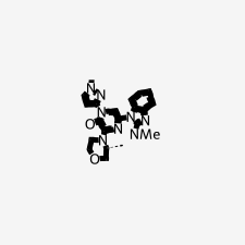 CNc1nc2ccccc2n1-c1cn(-c2ccn(C)n2)c(=O)c(N2CCOC[C@H]2C)n1